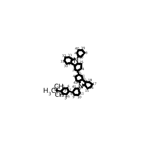 CC(C)(C)c1ccc(-c2cccc(-n3c4ccccc4c4cc(-c5ccc6c(c5)c5ccccc5n6-c5ccccc5)ccc43)c2)cc1